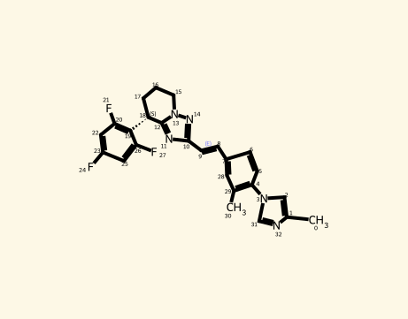 Cc1cn(-c2ccc(/C=C/c3nc4n(n3)CCC[C@H]4c3c(F)cc(F)cc3F)cc2C)cn1